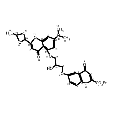 CCOC(=O)c1cc(=O)c2cc(OCC(O)COc3cc(N(C)C)cc4oc(C5OC(C)O5)cc(=O)c34)ccc2o1